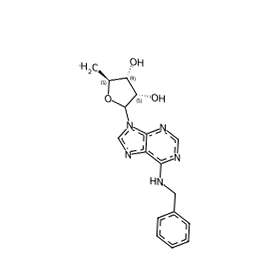 [CH2][C@@H]1OC(n2cnc3c(NCc4ccccc4)ncnc32)[C@@H](O)[C@H]1O